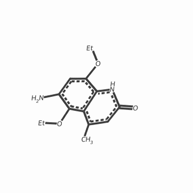 CCOc1cc(N)c(OCC)c2c(C)cc(=O)[nH]c12